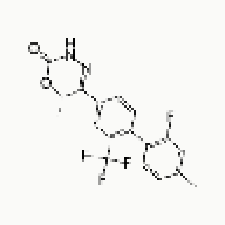 Cc1ccc(-c2ccc(C3=NNC(=O)O[C@H]3C)cc2C(F)(F)F)c(F)c1